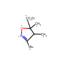 CCOC(=O)C1(C)ON=C(C(C)(C)C)C1C